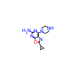 Nc1nc(N2CCNCC2)c2nc(C3CC3)oc2n1